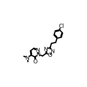 CN(C)c1ccnn(Cc2nc(CCc3ccc(Cl)cc3)no2)c1=O